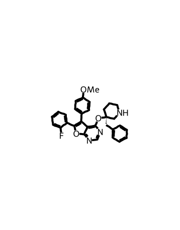 COc1ccc(-c2c(-c3ccccc3F)oc3ncnc(O[C@@]4(Cc5ccccc5)CCCNC4)c23)cc1